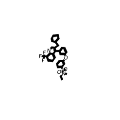 CCN(C)S(=O)(=O)c1cccc(Oc2cccc(-c3c(Cc4ccccc4)cnc4c(C(F)(F)F)cccc34)c2)c1